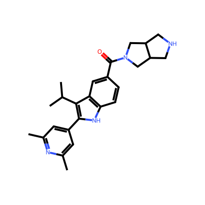 Cc1cc(-c2[nH]c3ccc(C(=O)N4CC5CNCC5C4)cc3c2C(C)C)cc(C)n1